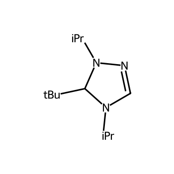 CC(C)N1C=NN(C(C)C)C1C(C)(C)C